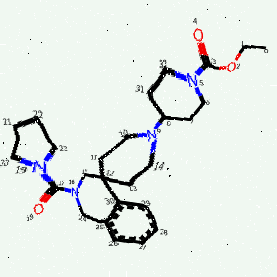 CCOC(=O)N1CCC(N2CCC3(CC2)CN(C(=O)N2CCCC2)Cc2ccccc23)CC1